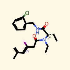 C=C(C)/C=C(\I)CC(=O)N(CC)[C@@H](CC)C(=O)NCc1ccccc1Cl